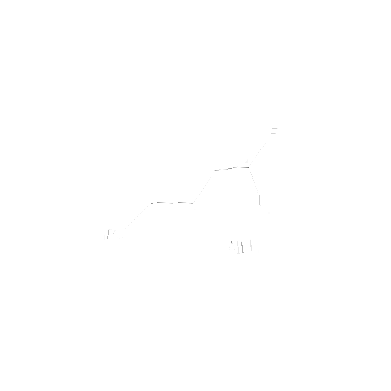 CCCCCCCC(F)F.[AlH3]